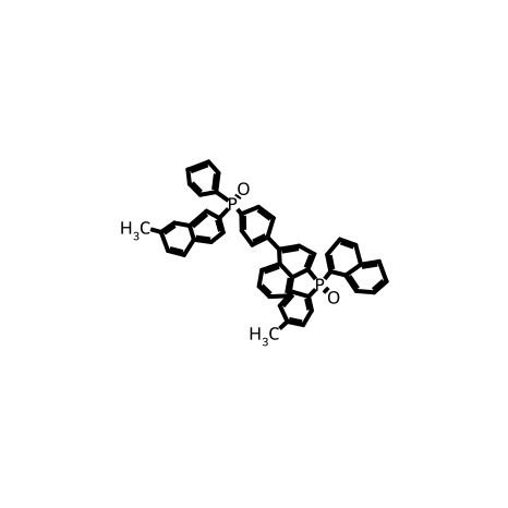 Cc1ccc(P(=O)(c2cccc3ccccc23)c2ccc(-c3ccc(P(=O)(c4ccccc4)c4ccc5ccc(C)cc5c4)cc3)c3ccccc23)cc1